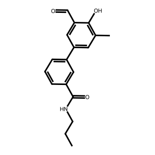 CCCNC(=O)c1cccc(-c2cc(C)c(O)c(C=O)c2)c1